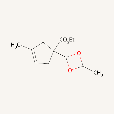 CCOC(=O)C1(C2OC(C)O2)CC=C(C)C1